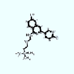 C[Si](C)(C)CCOCNc1nc(-c2ccc(Cl)nc2)cc2cc(F)ccc12